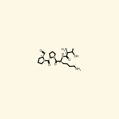 CC(O)[C@H](N)C(=O)N[C@@H](CCCCN)C(=O)N1CCC[C@H]1C(=O)N1CCC[C@H]1[C]=O